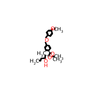 C=CCC(O)C(C)[C@H]1OC(C)(C)O[C@@H]1c1ccc(COCc2ccc(OC)cc2)cc1